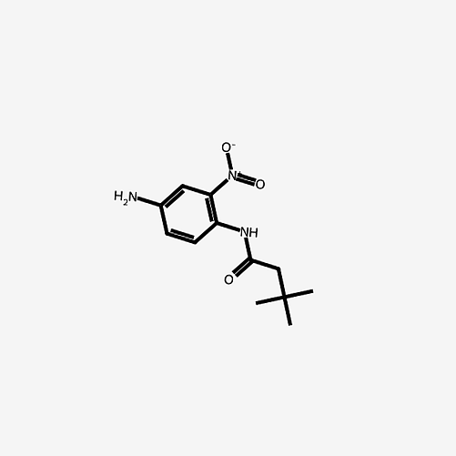 CC(C)(C)CC(=O)Nc1ccc(N)cc1[N+](=O)[O-]